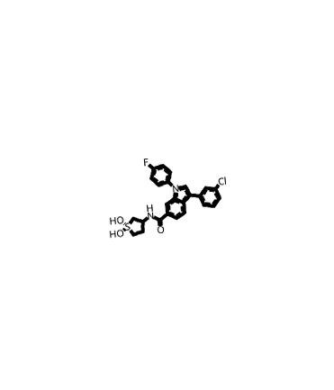 O=C(NC1CCS(O)(O)C1)c1ccc2c(-c3cccc(Cl)c3)cn(-c3ccc(F)cc3)c2c1